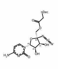 CCCCCCCCCCCC(=O)OC[C@@]1(N=[N+]=[N-])O[C@@H](n2ccc(N)nc2=O)[C@H](O)[C@@H]1O